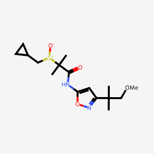 COCC(C)(C)c1cc(NC(=O)C(C)(C)[S+]([O-])CC2CC2)on1